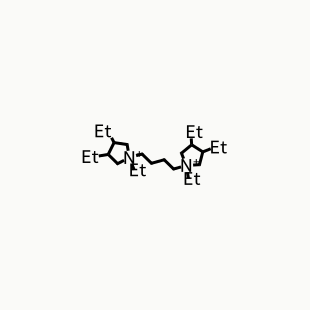 CCC1C[N+](CC)(CCCC[N+]2(CC)CC(CC)C(CC)C2)CC1CC